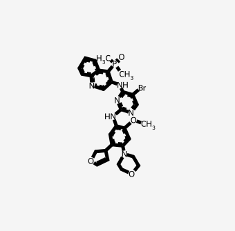 COc1cc(N2CCOCC2)c(C2C=COC2)cc1Nc1ncc(Br)c(Nc2cnc3ccccc3c2P(C)(C)=O)n1